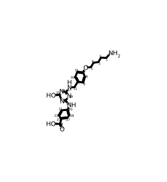 NCCCCCOc1ccc(CNc2nc(O)nc(Nc3ccc(C(=O)O)cc3)n2)cc1